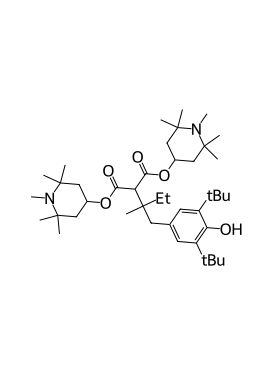 CCC(C)(Cc1cc(C(C)(C)C)c(O)c(C(C)(C)C)c1)C(C(=O)OC1CC(C)(C)N(C)C(C)(C)C1)C(=O)OC1CC(C)(C)N(C)C(C)(C)C1